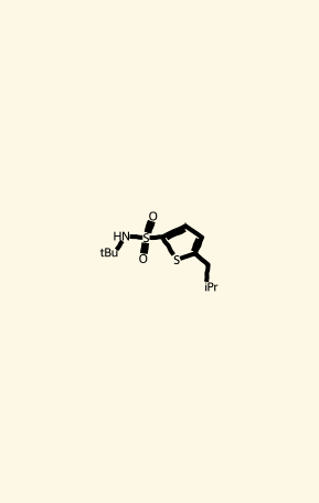 CC(C)Cc1c[c]c(S(=O)(=O)NC(C)(C)C)s1